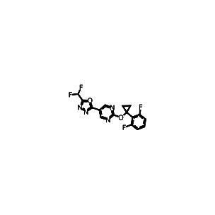 Fc1cccc(F)c1C1(Oc2ncc(-c3nnc(C(F)F)o3)cn2)CC1